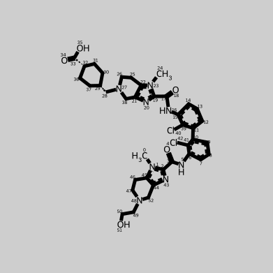 Cn1c(C(=O)Nc2cccc(-c3cccc(NC(=O)c4nc5c(n4C)CCN(C[C@H]4CC[C@@H](C(=O)O)CC4)C5)c3Cl)c2Cl)nc2c1CCN(CCO)C2